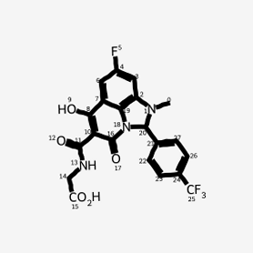 CN1c2cc(F)cc3c(O)c(C(=O)NCC(=O)O)c(=O)n(c23)C1c1ccc(C(F)(F)F)cc1